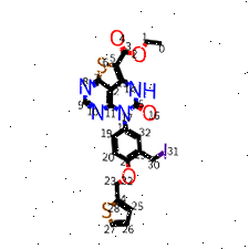 CCOC(=O)c1sc2ncnc3c2c1NC(=O)N3c1ccc(OCc2cccs2)c(CI)c1